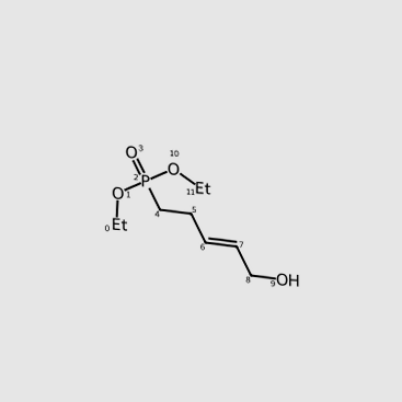 CCOP(=O)(CCC=CCO)OCC